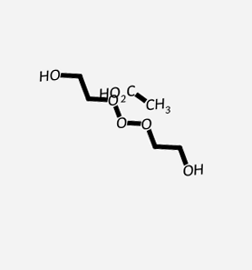 CC(=O)O.OCCOOOCCO